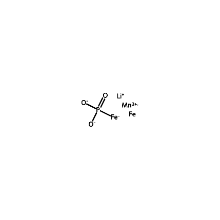 O=[P]([O-])([O-])[Fe-].[Fe].[Li+].[Mn+2]